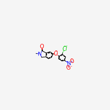 CN1Cc2ccc(Oc3ccc([N+](=O)[O-])cc3Cl)cc2C1=O